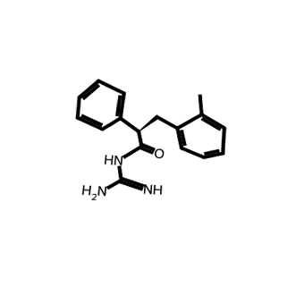 Cc1ccccc1C[C@@H](C(=O)NC(=N)N)c1ccccc1